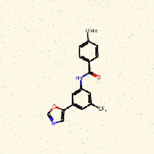 COc1ccc(C(=O)Nc2cc(-c3cnco3)cc(C(F)(F)F)c2)cc1